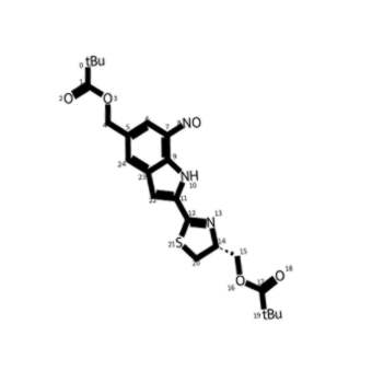 CC(C)(C)C(=O)OCc1cc(N=O)c2[nH]c(C3=N[C@H](COC(=O)C(C)(C)C)CS3)cc2c1